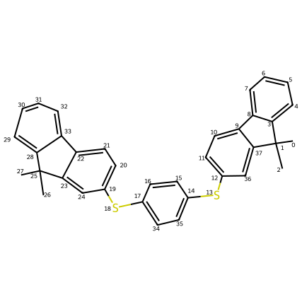 CC1(C)c2ccccc2-c2ccc(Sc3ccc(Sc4ccc5c(c4)C(C)(C)c4ccccc4-5)cc3)cc21